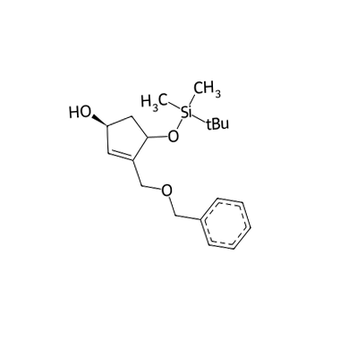 CC(C)(C)[Si](C)(C)OC1C[C@H](O)C=C1COCc1ccccc1